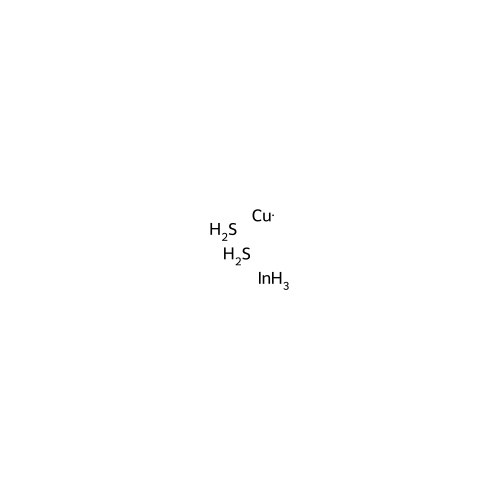 S.S.[Cu].[InH3]